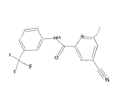 Cc1cc(C#N)cc(C(=O)Nc2cccc(C(F)(F)F)c2)n1